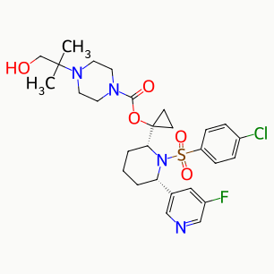 CC(C)(CO)N1CCN(C(=O)OC2([C@H]3CCC[C@@H](c4cncc(F)c4)N3S(=O)(=O)c3ccc(Cl)cc3)CC2)CC1